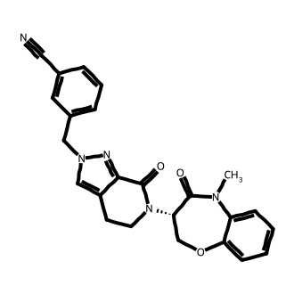 CN1C(=O)[C@@H](N2CCc3cn(Cc4cccc(C#N)c4)nc3C2=O)COc2ccccc21